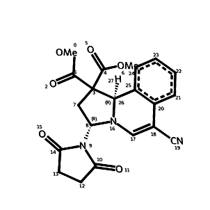 COC(=O)C1(C(=O)OC)C[C@@H](N2C(=O)CCC2=O)N2C=C(C#N)c3ccccc3[C@@H]21